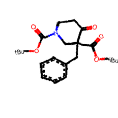 CCC(C)OC(=O)C1(Cc2ccccc2)CN(C(=O)OC(C)(C)C)CCC1=O